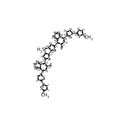 Cc1ccc(-c2ccc(-c3cc(F)c(-c4cc5c(s4)-c4sc(-c6c(F)cc(-c7ccc(-c8ccc(C)s8)s7)c7nsnc67)cc4[SiH2]5)c4nsnc34)s2)s1